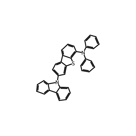 c1ccc(N(c2ccccc2)c2cccc3c2sc2cc(-n4c5ccccc5c5ccccc54)ccc23)cc1